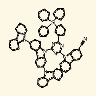 N#Cc1ccc2c3ccccc3n(-c3nc(-c4cccc([Si](c5ccccc5)(c5ccccc5)c5ccccc5)c4)nc(-n4c5ccc(-n6c7ccccc7c7ccccc76)cc5c5ccc(-n6c7ccccc7c7ccccc76)cc54)n3)c2c1